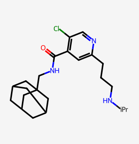 CC(C)NCCCc1cc(C(=O)NCC23CC4CC(CC(C4)C2)C3)c(Cl)cn1